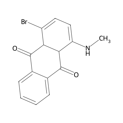 CNC1=CC=C(Br)C2C(=O)c3ccccc3C(=O)C12